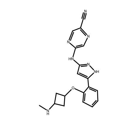 CNC1CC(Oc2ccccc2-c2cc(Nc3cnc(C#N)cn3)n[nH]2)C1